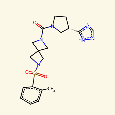 O=C(N1CC[C@H](c2ncn[nH]2)C1)N1CC2(C1)CN(S(=O)(=O)c1ccccc1C(F)(F)F)C2